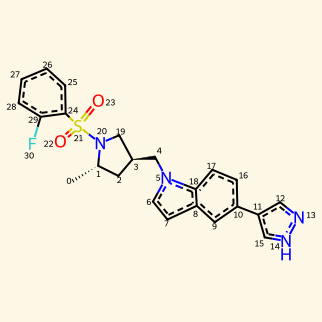 C[C@H]1C[C@H](Cn2ccc3cc(-c4cn[nH]c4)ccc32)CN1S(=O)(=O)c1ccccc1F